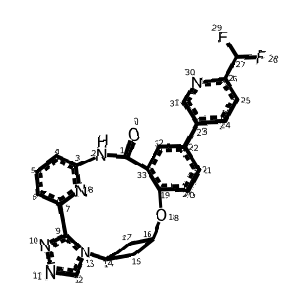 O=C1Nc2cccc(n2)-c2nncn2C2CC(C2)Oc2ccc(-c3ccc(C(F)F)nc3)cc21